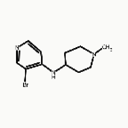 CN1CCC(Nc2ccncc2Br)CC1